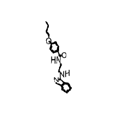 CCCCOc1ccc(C(=O)NCCNC2=NCc3ccccc32)cc1